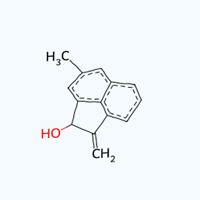 C=C1c2cccc3cc(C)cc(c23)C1O